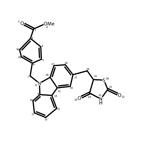 COC(=O)c1ccc(Cn2c3ccccc3c3cc(CC4SC(=O)NC4=O)ccc32)cc1